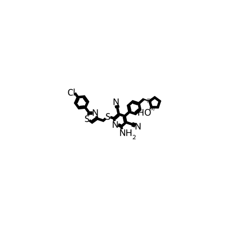 N#Cc1c(N)nc(SCc2csc(-c3ccc(Cl)cc3)n2)c(C#N)c1-c1ccc(C[C@H]2CCC[C@@H]2O)cc1